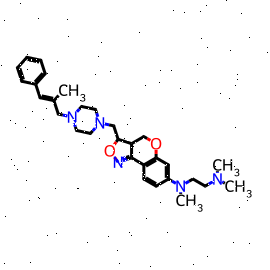 C/C(=C\c1ccccc1)CN1CCN(CC2ON=C3c4ccc(N(C)CCN(C)C)cc4OCC32)CC1